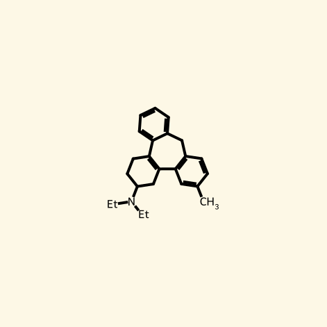 CCN(CC)C1CCC2=C(C1)c1cc(C)ccc1Cc1ccccc12